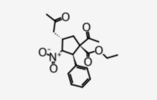 CCOC(=O)[C@]1(C(C)=O)C[C@@H](CC(C)=O)[C@@H]([N+](=O)[O-])[C@@H]1c1ccccc1